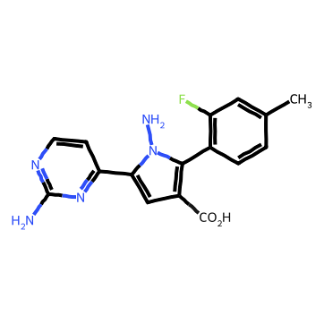 Cc1ccc(-c2c(C(=O)O)cc(-c3ccnc(N)n3)n2N)c(F)c1